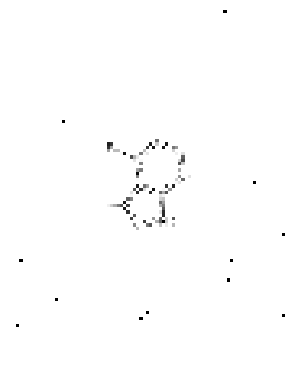 Cc1c[nH]c2[c]ccc(F)c12